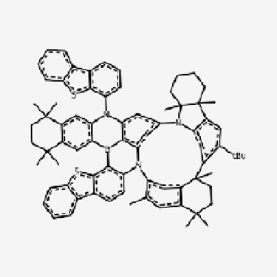 Cc1cc2c3cc1N1c4cc(cc5c4B(c4cc6c(cc4N5c4cccc5c4sc4ccccc45)C(C)(C)CCC6(C)C)c4c1ccc1c4sc4ccccc41)N1c4cc(c(C(C)(C)C)cc4C4(C)CCCCC14C)C3(C)CCC2(C)C